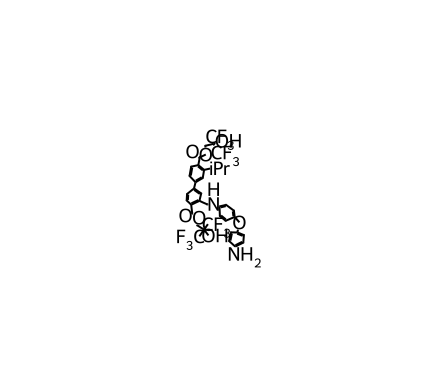 CC(C)c1cc(-c2ccc(C(=O)OCC(O)(C(F)(F)F)C(F)(F)F)c(CNc3ccc(Oc4ccc(N)cc4)cc3)c2)ccc1C(=O)OCC(O)(C(F)(F)F)C(F)(F)F